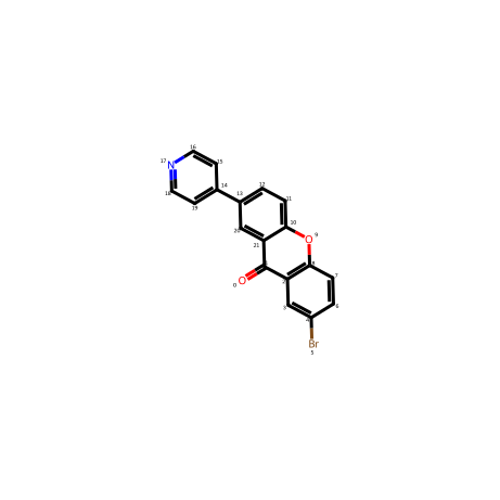 O=c1c2cc(Br)ccc2oc2ccc(-c3ccncc3)cc12